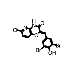 O=C1Nc2nc(Cl)ccc2O/C1=C\c1cc(Br)c(O)c(Br)c1